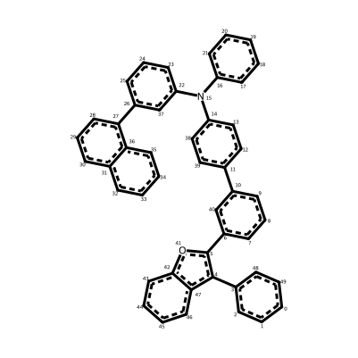 c1ccc(-c2c(-c3cccc(-c4ccc(N(c5ccccc5)c5cccc(-c6cccc7ccccc67)c5)cc4)c3)oc3ccccc23)cc1